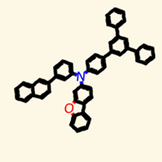 c1ccc(-c2cc(-c3ccccc3)cc(-c3ccc(N(c4cccc(-c5ccc6ccccc6c5)c4)c4ccc5c(c4)oc4ccccc45)cc3)c2)cc1